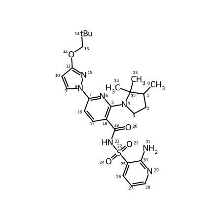 CC1CCN(c2nc(-n3ccc(OCC(C)(C)C)n3)ccc2C(=O)NS(=O)(=O)c2cccnc2N)C1(C)C